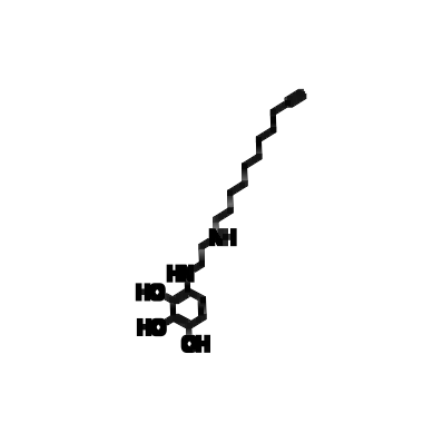 C#CCCCCCCCCCNCCNc1ccc(O)c(O)c1O